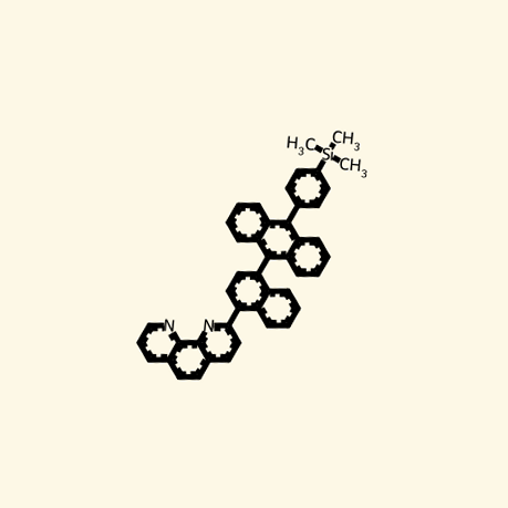 C[Si](C)(C)c1ccc(-c2c3ccccc3c(-c3ccc(-c4ccc5ccc6cccnc6c5n4)c4ccccc34)c3ccccc23)cc1